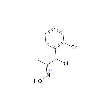 C/C(=N\O)C(Cl)c1ccccc1Br